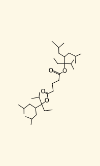 CCC(OC(=O)CCCC(=O)OC(CC)(C(C)C)C(CC(C)C)CC(C)C)(C(C)C)C(CC(C)C)CC(C)C